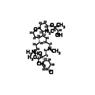 CC(C)C(O)(CCN(C)CCCC1C2C[C@@H](OC(C)(C)CO)CCC2OCC[C@H]1CCCN)[C@H]1CC[C@@H](Cl)CC1